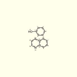 Oc1ccccc1.c1ccc2ncccc2c1